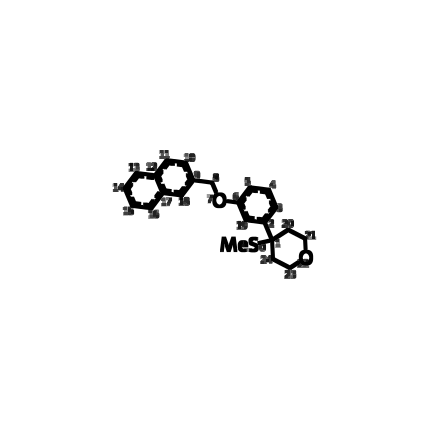 CSC1(c2cccc(OCc3ccc4ccccc4c3)c2)CCOCC1